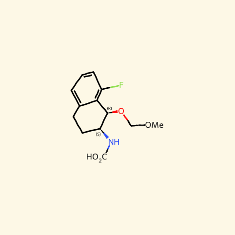 COCO[C@@H]1c2c(F)cccc2CC[C@@H]1NC(=O)O